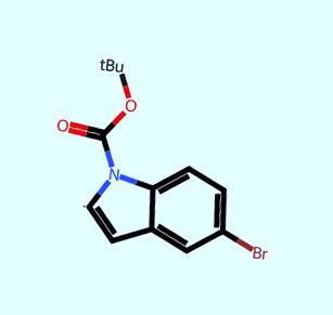 CC(C)(C)OC(=O)n1[c]cc2cc(Br)ccc21